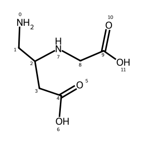 NCC(CC(=O)O)NCC(=O)O